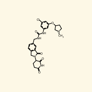 CN1CCC(Oc2cc(Cl)cc(NC(=O)NCc3ccc4c(c3)C(=O)N(C3CCC(=O)NC3=O)C4)c2)C1